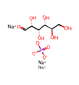 O=C[C@H](O)[C@@H](O)[C@H](O)[C@H](O)CO.O=P([O-])([O-])[O-].[Na+].[Na+].[Na+]